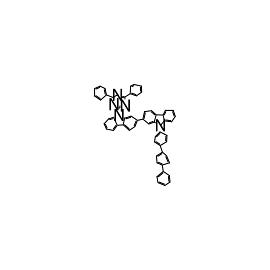 c1ccc(-c2ccc(-c3ccc(-n4c5ccccc5c5ccc(-c6ccc7c8ccccc8n(-c8nc(-c9ccccc9)nc(-c9ccccc9)n8)c7c6)cc54)cc3)cc2)cc1